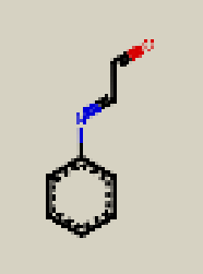 O=CC=Nc1ccccc1